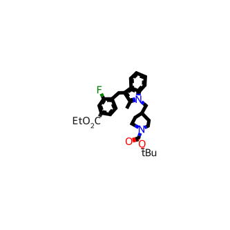 CCOC(=O)c1ccc(Cc2c(C)n(CC3CCN(C(=O)OC(C)(C)C)CC3)c3ccccc23)c(F)c1